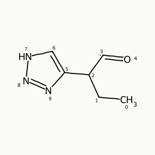 CCC([C]=O)c1c[nH]nn1